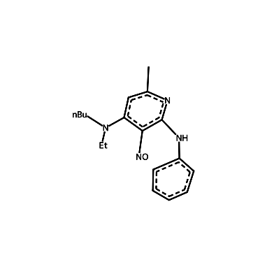 CCCCN(CC)c1cc(C)nc(Nc2ccccc2)c1N=O